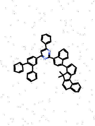 CC1(C)c2ccc3ccccc3c2-c2cccc(-c3ccc(-c4nc(-c5ccccc5)cc(-c5ccc(-c6ccccc6)c(-c6ccccc6)c5)n4)c4ccccc34)c21